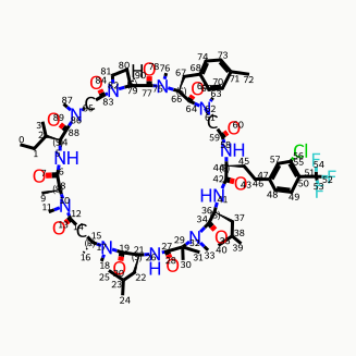 CCC(C)[C@@H]1NC(=O)[C@H](C)N(C)C(=O)C[C@@H](C)N(C)C(=O)[C@H](CC(C)C)NC(=O)C(C)(C)N(C)C(=O)[C@H](CC(C)C)NC(=O)[C@H](CCc2ccc(C(F)(F)F)c(Cl)c2)NC(=O)CN(C)C(=O)[C@H](Cc2ccc(C)cc2)N(C)C(=O)[C@@H]2CCN2C(=O)CN(C)C1=O